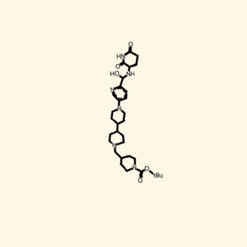 CC(C)(C)OC(=O)N1CCC(CN2CCC(C3CCN(c4ccc(C(O)NC5CCC(=O)NC5=O)nc4)CC3)CC2)CC1